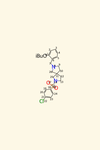 CC(C)COc1ccccc1CN1CCC2(CCN(S(=O)(=O)c3ccc(Cl)cc3)C2)C1